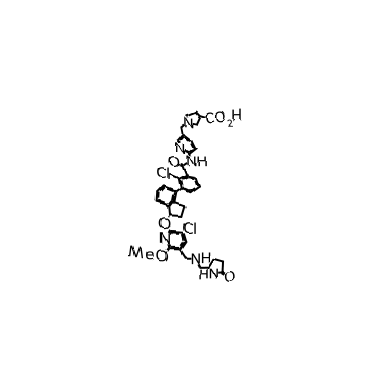 COc1nc(O[C@H]2CCc3c(-c4cccc(C(=O)Nc5ccc(CN6CCC(C(=O)O)C6)cn5)c4Cl)cccc32)c(Cl)cc1CNCC1CCC(=O)N1